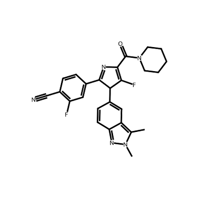 Cc1c2cc(C3C(c4ccc(C#N)c(F)c4)=NC(C(=O)N4CCCCC4)=C3F)ccc2nn1C